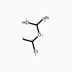 CCCC(O)OC(C)CC